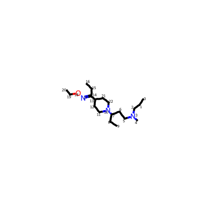 CCCN(C)CCC(CC)N1CCC(C(CC)=NOCC)CC1